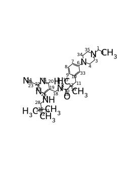 CCN1CCN(c2cccc(CC(C)(C)C(=O)NCc3cnc(C#N)nc3NCC(C)(C)C)c2)CC1